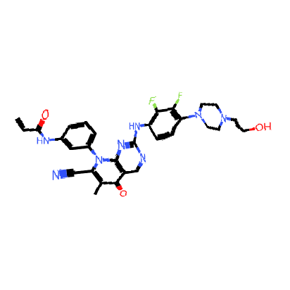 C=CC(=O)Nc1cccc(-n2c(C#N)c(C)c(=O)c3cnc(Nc4ccc(N5CCN(CCO)CC5)c(F)c4F)nc32)c1